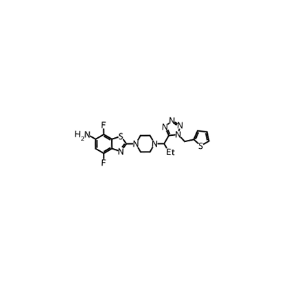 CCC(c1nnnn1Cc1cccs1)N1CCN(c2nc3c(F)cc(N)c(F)c3s2)CC1